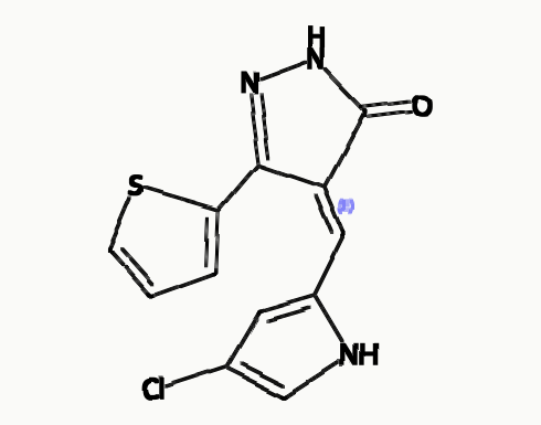 O=C1NN=C(c2cccs2)/C1=C\c1cc(Cl)c[nH]1